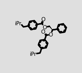 CC(C)Cc1ccc(C(=O)OC[C@H](OC(=O)c2ccc(CC(C)C)cc2)c2ccccc2)cc1